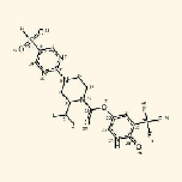 CC(C)C1CN(c2ncc(S(C)(=O)=O)cn2)CCN1C(=O)Oc1c[nH]c(=O)c(C(F)(F)F)c1